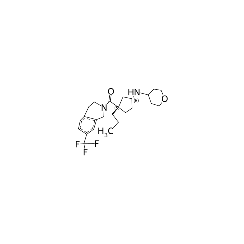 CCC[C@]1(C(=O)N2CCc3ccc(C(F)(F)F)cc3C2)CC[C@@H](NC2CCOCC2)C1